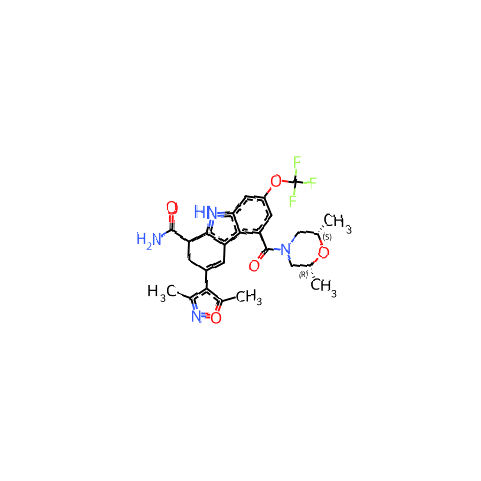 Cc1noc(C)c1C1=Cc2c([nH]c3cc(OC(F)(F)F)cc(C(=O)N4C[C@@H](C)O[C@@H](C)C4)c23)C(C(N)=O)C1